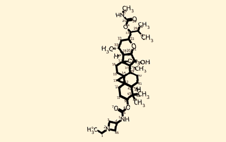 CCN1CC(NC(=O)OC2CCC34CC35CCC3(C)[C@@H]6C(OC(C(OC(=O)NC)C(C)C)C[C@H]6C)[C@H](O)[C@@]3(C)C5CC[C@H]4C2(C)C)C1